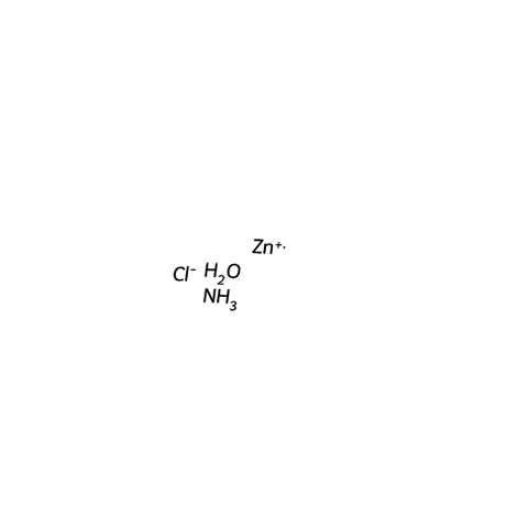 N.O.[Cl-].[Zn+]